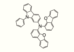 c1ccc(-n2c3ccccc3c3ccc(N(c4cccc5c4oc4ccccc45)c4cccc5c4oc4ccccc45)cc32)cc1